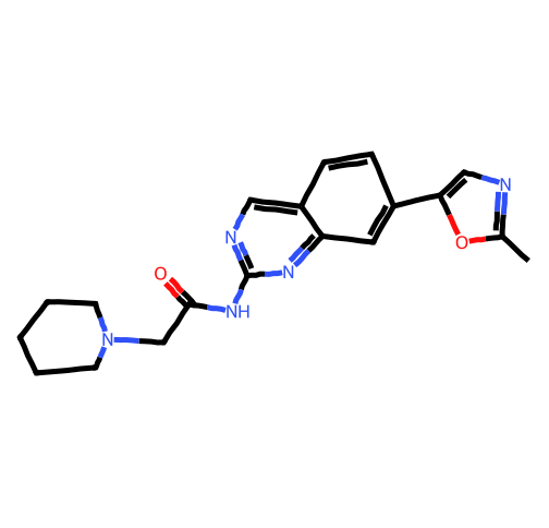 Cc1ncc(-c2ccc3cnc(NC(=O)CN4CCCCC4)nc3c2)o1